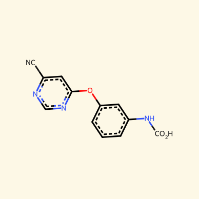 N#Cc1cc(Oc2cccc(NC(=O)O)c2)ncn1